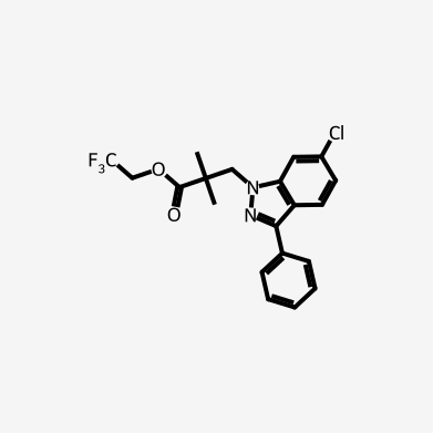 CC(C)(Cn1nc(-c2ccccc2)c2ccc(Cl)cc21)C(=O)OCC(F)(F)F